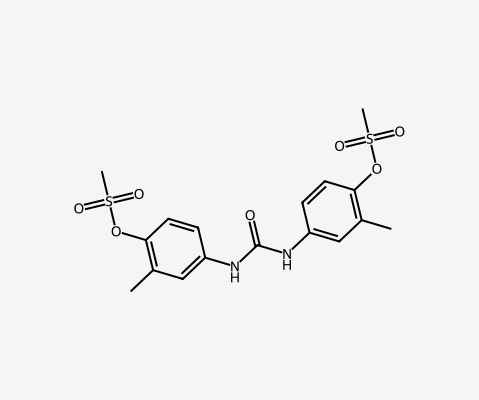 Cc1cc(NC(=O)Nc2ccc(OS(C)(=O)=O)c(C)c2)ccc1OS(C)(=O)=O